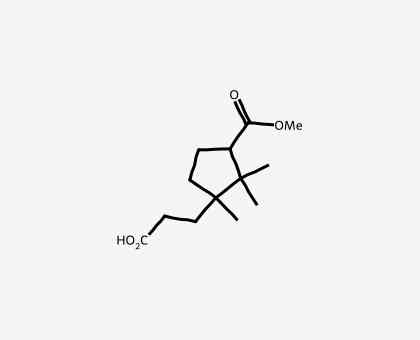 COC(=O)C1CCC(C)(CCC(=O)O)C1(C)C